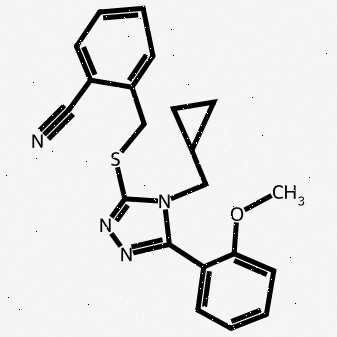 COc1ccccc1-c1nnc(SCc2ccccc2C#N)n1CC1CC1